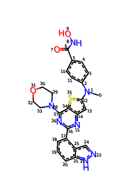 CN(c1ccc(C(=O)NO)cc1)c1cc2nc(-c3cccc4[nH]ncc34)nc(N3CCOCC3)c2s1